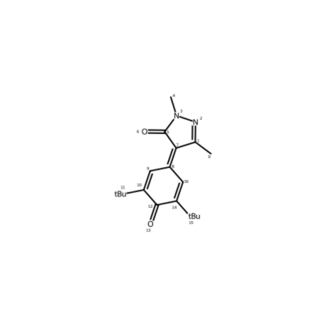 CC1=NN(C)C(=O)C1=C1C=C(C(C)(C)C)C(=O)C(C(C)(C)C)=C1